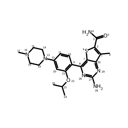 Cc1c(C(N)=O)sc2c(-c3ccc(N4CCN(C)CC4)cc3OC(C)C)nc(N)nc12